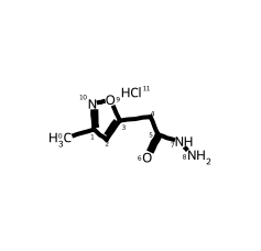 Cc1cc(CC(=O)NN)on1.Cl